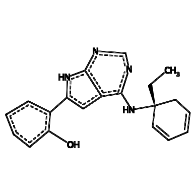 CC[C@]1(Nc2ncnc3[nH]c(-c4ccccc4O)cc23)C=CC=CC1